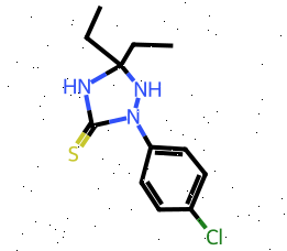 CCC1(CC)NC(=S)N(c2ccc(Cl)cc2)N1